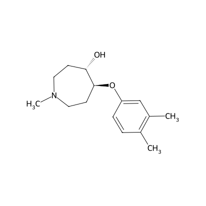 Cc1ccc(O[C@H]2CCN(C)CC[C@@H]2O)cc1C